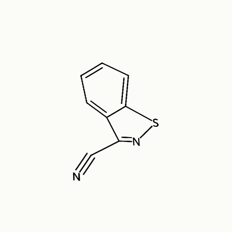 N#Cc1nsc2ccccc12